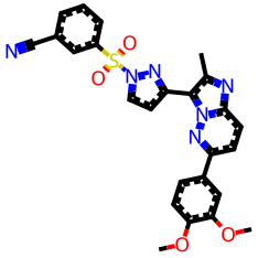 COc1ccc(-c2ccc3nc(C)c(-c4ccn(S(=O)(=O)c5cccc(C#N)c5)n4)n3n2)cc1OC